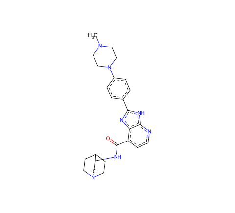 CN1CCN(c2ccc(-c3nc4c(C(=O)NC5CN6CCC5CC6)ccnc4[nH]3)cc2)CC1